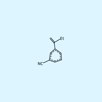 C=C(CC)c1cccc(C#N)c1